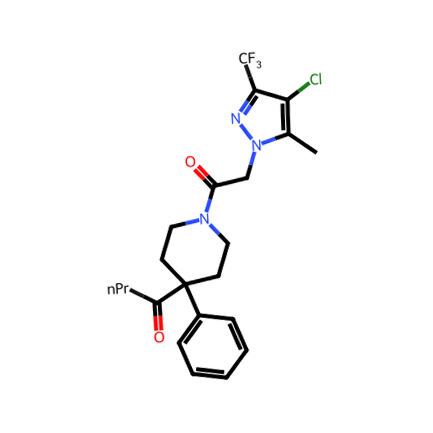 CCCC(=O)C1(c2ccccc2)CCN(C(=O)Cn2nc(C(F)(F)F)c(Cl)c2C)CC1